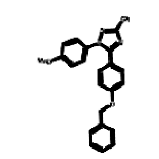 COc1ccc(-n2nc(O)nc2-c2ccc(OCc3ccccc3)cc2)cc1